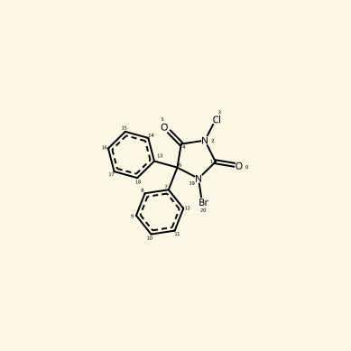 O=C1N(Cl)C(=O)C(c2ccccc2)(c2ccccc2)N1Br